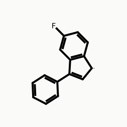 Fc1ccc2c(c1)C(c1ccccc1)=C[CH]2